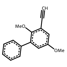 C#Cc1cc(OC)cc(-c2ccccc2)c1OC